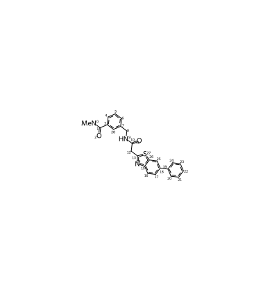 CNC(=O)c1cccc(CNC(=O)Cc2nc3ccc(-c4ccccc4)cc3s2)c1